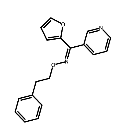 c1ccc(CCON=C(c2cccnc2)c2ccco2)cc1